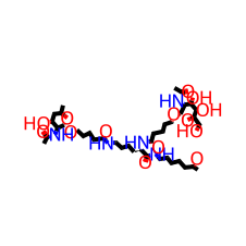 CC(=O)CCCCCNC(=O)[C@H](CCCCNC(=O)CCCCOC1OC(C)CC(O)C1NC(C)=O)NC(=O)CCCCOC1OC(CO)C(O)C(O)C1NC(C)=O